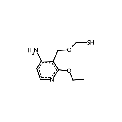 CCOc1nccc(N)c1COCS